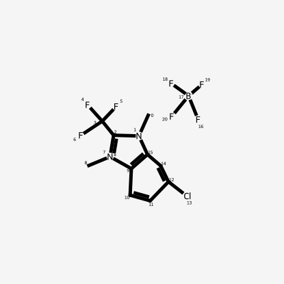 Cn1c(C(F)(F)F)[n+](C)c2ccc(Cl)cc21.F[B-](F)(F)F